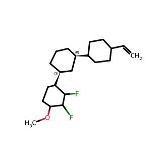 C=CC1CCC([C@@H]2CCC[C@H](C3CCC(OC)C(F)C3F)C2)CC1